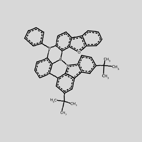 CC(C)(C)c1ccc2c(c1)c1cc(C(C)(C)C)cc3c1n2B1c2c-3cccc2N(c2ccccc2)c2ccc3c(oc4ccccc43)c21